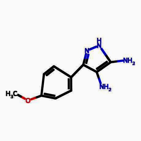 COc1ccc(-c2n[nH]c(N)c2N)cc1